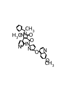 COc1ccc2c(Oc3ccc(NC(=O)c4c(-c5ccncc5)n(C)n([C@@H](C)c5ccccc5)c4=O)nc3)ccnc2c1